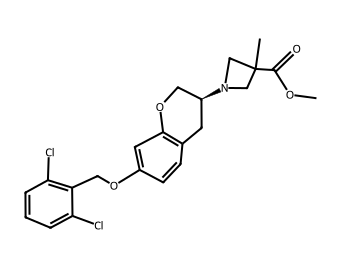 COC(=O)C1(C)CN([C@@H]2COc3cc(OCc4c(Cl)cccc4Cl)ccc3C2)C1